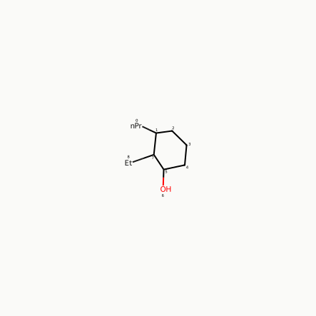 CCCC1CCCC(O)C1CC